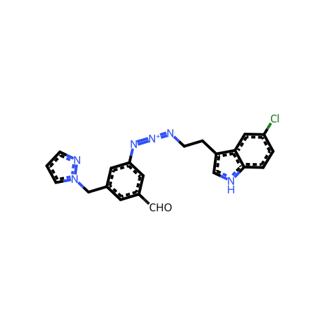 O=Cc1cc(Cn2cccn2)cc(N=[N+]=NCCc2c[nH]c3ccc(Cl)cc23)c1